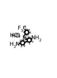 Cl.Cl.Nc1ccc2c3ccc(N)cc3n(Cc3cccc(C(F)(F)F)c3)c2c1